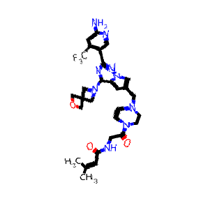 CC(C)=CC(=O)NCC(=O)N1CCN(Cc2cc3c(N4CC5(COC5)C4)nc(-c4cnc(N)cc4C(F)(F)F)nn3c2)CC1